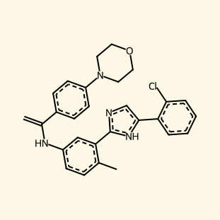 C=C(Nc1ccc(C)c(-c2ncc(-c3ccccc3Cl)[nH]2)c1)c1ccc(N2CCOCC2)cc1